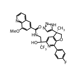 COc1cc(C(=O)NC[C@](O)(c2cc3c(c(-c4ccc(F)cc4)n2)OC[C@]3(C)c2cnn[nH]2)C(F)(F)F)cc2cccnc12